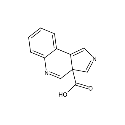 O=C(O)C12C=NC=C1c1ccccc1N=C2